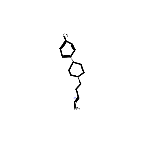 CCC/C=C/CC[C@H]1CC[C@H](c2ccc(C#N)cc2)CC1